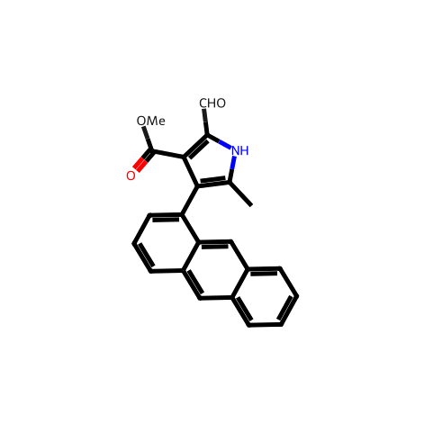 COC(=O)c1c(C=O)[nH]c(C)c1-c1cccc2cc3ccccc3cc12